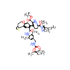 COC(=O)c1nc(C(=O)NC(C)(C)C)ccc1-c1cc2c(cc1C(=O)Nc1c(C)cc(CNC(=O)OC(C)(C)C)cc1C)-c1sccc1CCO2